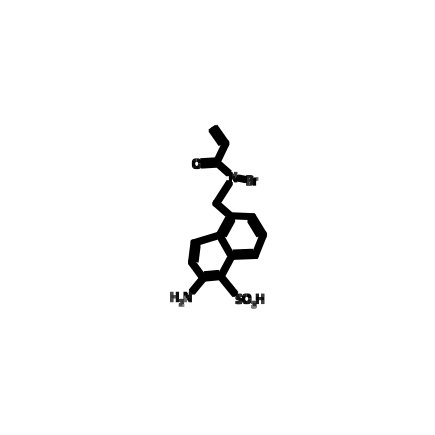 C=CC(=O)N(Br)Cc1cccc2c(S(=O)(=O)O)c(N)ccc12